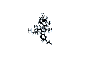 CCSc1ccc(Nc2nc(NC)c(-c3cncc4c3ncn4C)nc2C(N)=O)cc1